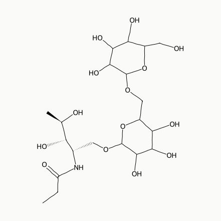 CCC(=O)N[C@@H](COC1OC(COC2OC(CO)C(O)C(O)C2O)C(O)C(O)C1O)[C@H](O)[C@@H](C)O